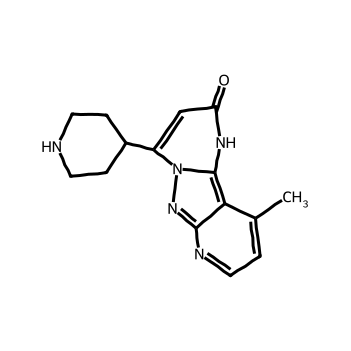 Cc1ccnc2nn3c(C4CCNCC4)cc(=O)[nH]c3c12